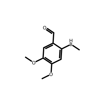 CBc1cc(OC)c(OC)cc1C=O